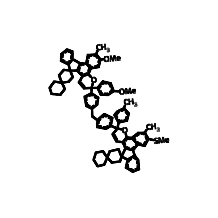 COc1ccc(C2(c3ccc(Cc4ccc(C5(c6ccc(C)cc6)C=Cc6c7c(c8cc(SC)c(C)cc8c6O5)-c5ccccc5C75CCC6(CCCCC6)CC5)cc4)cc3)C=Cc3c4c(c5cc(C)c(OC)cc5c3O2)-c2ccccc2C42CCC3(CCCCC3)CC2)cc1